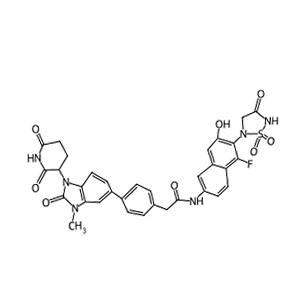 Cn1c(=O)n(C2CCC(=O)NC2=O)c2ccc(-c3ccc(CC(=O)Nc4ccc5c(F)c(N6CC(=O)NS6(=O)=O)c(O)cc5c4)cc3)cc21